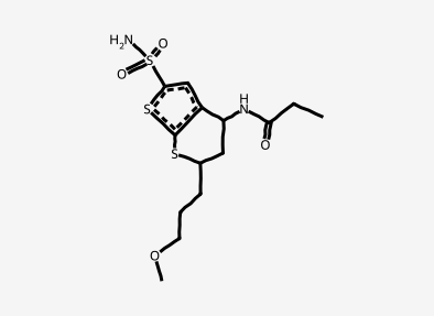 CCC(=O)NC1CC(CCCOC)Sc2sc(S(N)(=O)=O)cc21